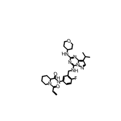 C=CC(=O)N1CCCCC1C(=O)Nc1ccc(F)c(CNc2nc(NC3CCOCC3)nc3c(C(C)C)cnn23)c1